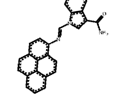 NC(=O)c1cn(C=Nc2ccc3ccc4cccc5ccc2c3c45)c2ccccc12